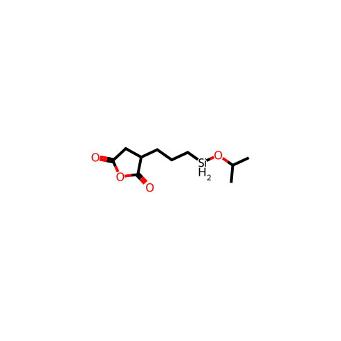 CC(C)O[SiH2]CCCC1CC(=O)OC1=O